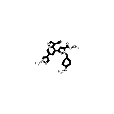 COC(=O)c1cc(-c2cc(-c3cnn(C)c3)cn3ncc(C#N)c23)nn1Cc1ccc(OC)cc1